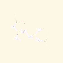 C=N/C(=N\N=C(/N)NC(C)=O)NC(C)=O